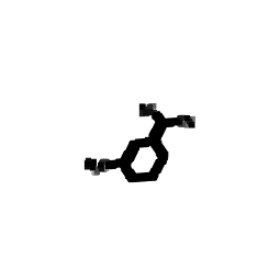 CC1=CC(=C(C#N)C#N)CCC1